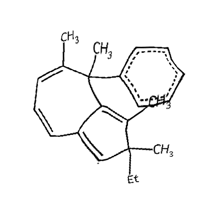 CCC1(C)[C]=C2C=CC=C(C)C(C)(c3ccccc3)C2=C1C